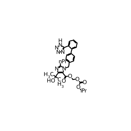 CCCc1nc(C(C)(C)O)c(C(=O)OCOC(=O)OC(C)C)n1Cc1ccc(-c2ccccc2-c2nnn[nH]2)cc1